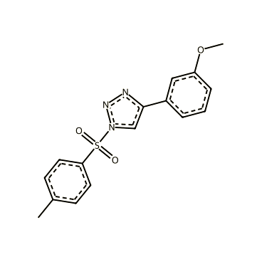 COc1cccc(-c2cn(S(=O)(=O)c3ccc(C)cc3)nn2)c1